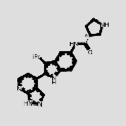 CC(C)c1c(-c2ccnc3[nH]ncc23)[nH]c2ccc(NC(=O)[C@@H]3CCNC3)cc12